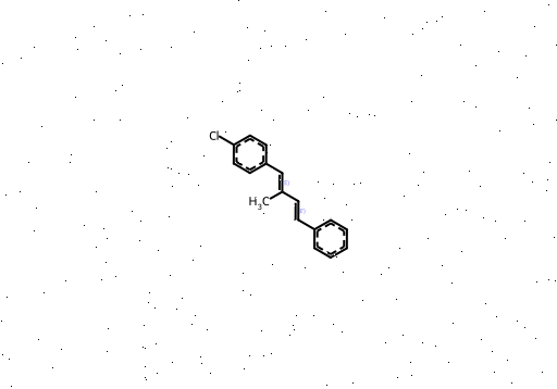 CC(/C=[C]/c1ccccc1)=C\c1ccc(Cl)cc1